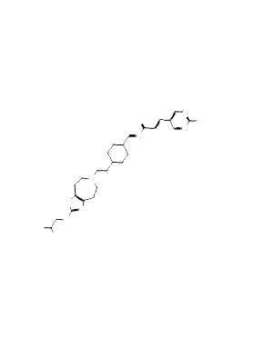 Cc1ncc(/C=C/C(=O)/N=C/C2CCC(CCN3CCc4nc(OCC(F)F)sc4CC3)CC2)cn1